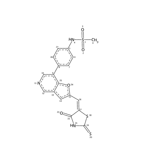 CS(=O)(=O)Nc1ccc(-c2cncc3cc(/C=C4/SC(=S)NC4=O)oc23)cc1